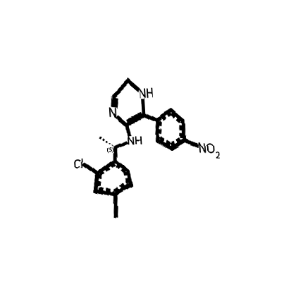 Cc1ccc([C@H](C)NC2=C(c3ccc([N+](=O)[O-])cc3)NCC=N2)c(Cl)c1